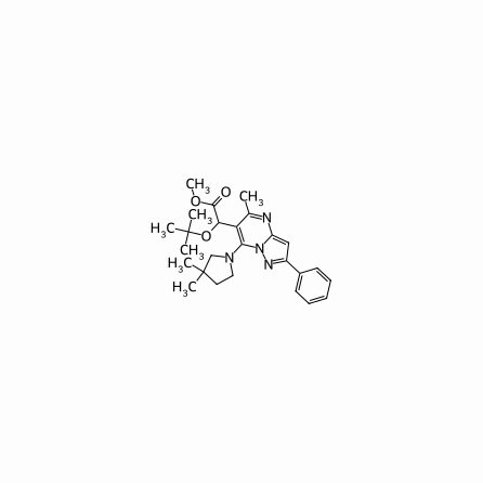 COC(=O)C(OC(C)(C)C)c1c(C)nc2cc(-c3ccccc3)nn2c1N1CCC(C)(C)C1